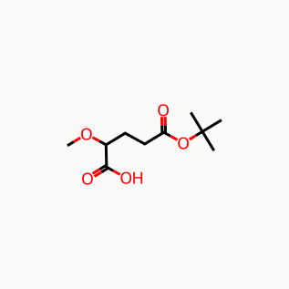 COC(CCC(=O)OC(C)(C)C)C(=O)O